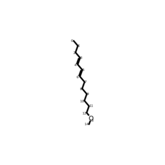 CCCC=CC=CCCCCCCOC